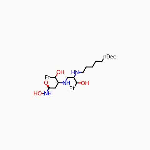 CCCCCCCCCCCCCCCNC(CNC(CC(=O)NO)C(O)CC)C(O)CC